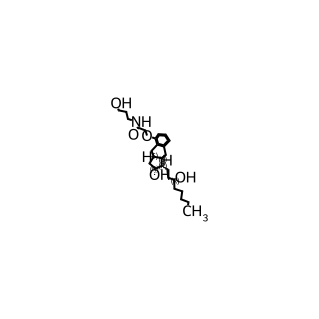 CCCCC[C@@H](O)CC[C@@H]1[C@H]2Cc3cccc(OCC(=O)NCCCO)c3C[C@H]2C[C@H]1O